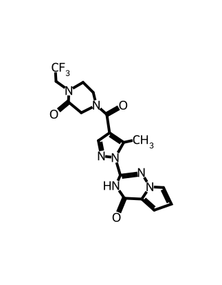 Cc1c(C(=O)N2CCN(CC(F)(F)F)C(=O)C2)cnn1-c1nn2cccc2c(=O)[nH]1